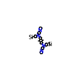 Cc1c2ccc(N(c3ccc(N4CCCCC4)cc3)c3ccc([Si](C)(C)C)cc3)cc2c(C)c2ccc(N(c3ccc(N4CCCCC4)cc3)c3ccc([Si](C)(C)C)cc3)cc12